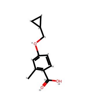 Cc1cc(OCC2CC2)ccc1C(=O)O